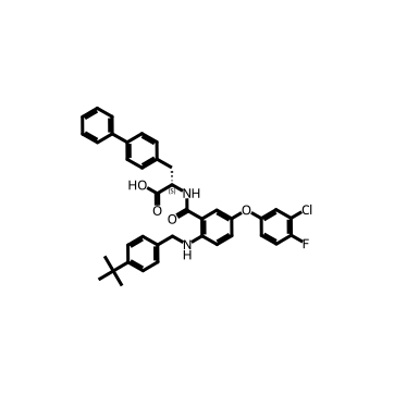 CC(C)(C)c1ccc(CNc2ccc(Oc3ccc(F)c(Cl)c3)cc2C(=O)N[C@@H](Cc2ccc(-c3ccccc3)cc2)C(=O)O)cc1